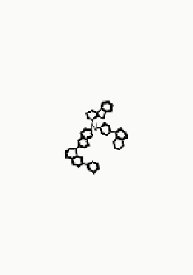 c1ccc(-c2ccc3cccc(-c4ccc5cc(N(c6ccc(-c7cccc8ccccc78)cc6)c6cccc7c6Cc6ccccc6-7)ccc5c4)c3c2)cc1